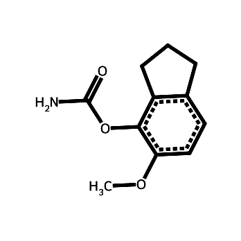 COc1ccc2c(c1OC(N)=O)CCC2